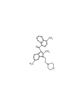 Cc1ccc2c(C(=O)c3ccc(C)c4ccccc34)c(C)n(CCN3CCOCC3)c2c1